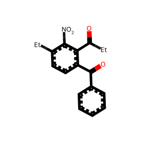 CCC(=O)c1c(C(=O)c2ccccc2)ccc(CC)c1[N+](=O)[O-]